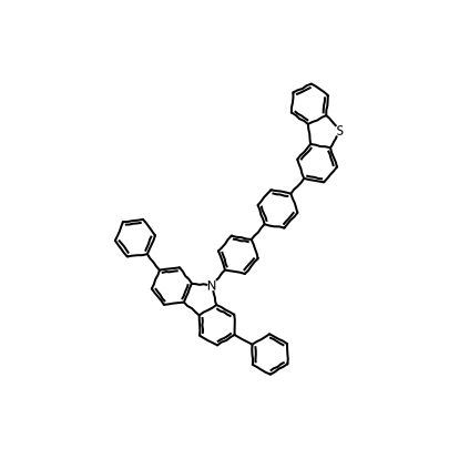 c1ccc(-c2ccc3c4ccc(-c5ccccc5)cc4n(-c4ccc(-c5ccc(-c6ccc7sc8ccccc8c7c6)cc5)cc4)c3c2)cc1